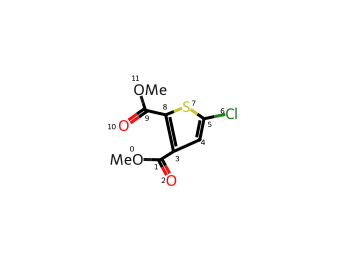 COC(=O)c1cc(Cl)sc1C(=O)OC